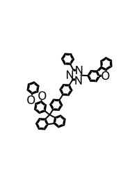 c1ccc(-c2nc(-c3ccc(-c4ccc(C5(c6ccc7c(c6)Oc6ccccc6O7)c6ccccc6-c6ccccc65)cc4)cc3)nc(-c3ccc4oc5ccccc5c4c3)n2)cc1